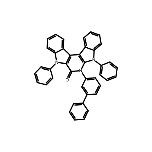 O=c1c2c(c3ccccc3n2-c2ccccc2)c2c3ccccc3n(-c3ccccc3)c2n1-c1cccc(-c2ccccc2)c1